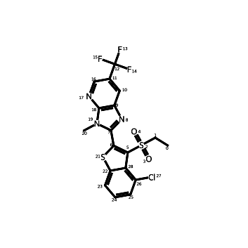 CCS(=O)(=O)c1c(-c2nc3cc(C(F)(F)F)cnc3n2C)sc2cccc(Cl)c12